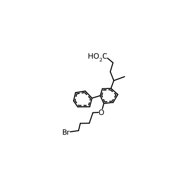 CC(CCC(=O)O)c1ccc(OCCCCBr)c(-c2ccccc2)c1